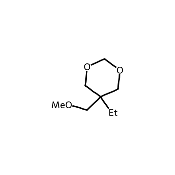 CCC1(COC)COCOC1